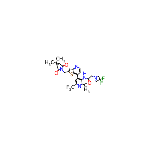 Cc1nc(C(F)(F)F)cc(-c2ccnc3cc(CN4C(=O)C5C(C4=O)C5(C)C)sc23)c1NC(=O)CN1CC(F)(F)C1